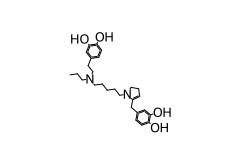 CCCN(CCCCCN1CCC=C1Cc1ccc(O)c(O)c1)CCc1ccc(O)c(O)c1